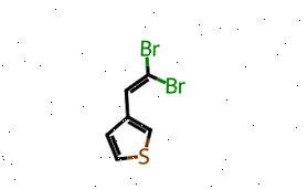 BrC(Br)=Cc1ccsc1